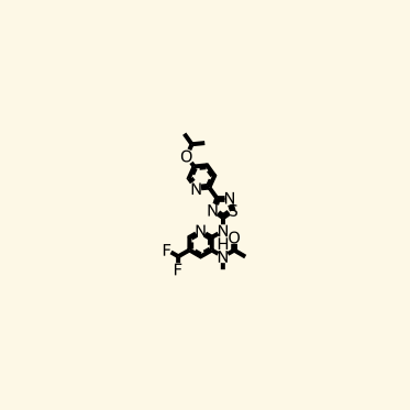 CC(=O)N(C)c1cc(C(F)F)cnc1Nc1nc(-c2ccc(OC(C)C)cn2)ns1